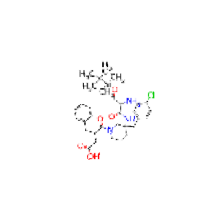 CC(C)(C)[Si](C)(C)OCC(N)C(=O)NC1(Cc2ccc(Cl)cc2)CCCN(C(=O)C(CC(=O)O)Cc2ccccc2)C1